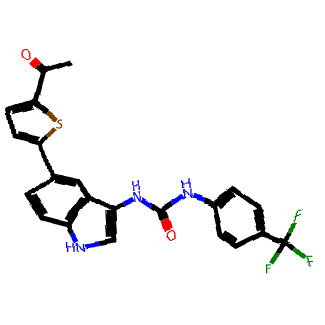 CC(=O)c1ccc(-c2ccc3[nH]cc(NC(=O)Nc4ccc(C(F)(F)F)cc4)c3c2)s1